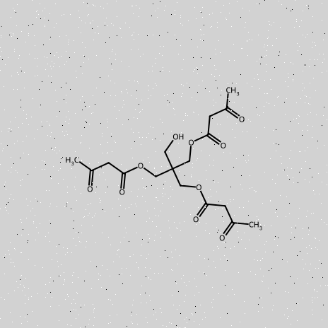 CC(=O)CC(=O)OCC(CO)(COC(=O)CC(C)=O)COC(=O)CC(C)=O